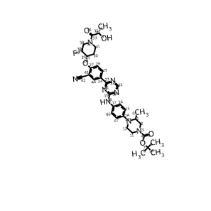 CC1CN(C(=O)OC(C)(C)C)CCN1c1ccc(Nc2ncnc(-c3ccc(O[C@H]4CCN(C(=O)[C@H](C)O)C[C@H]4F)c(C#N)c3)n2)cc1